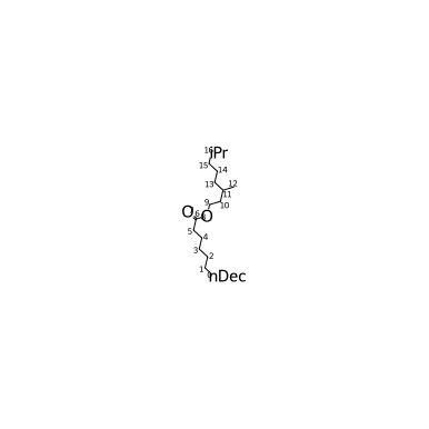 CCCCCCCCCCCCCCCC(=O)OCCC(C)CCCC(C)C